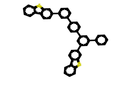 c1ccc(-c2cc(-c3ccc(-c4cccc(-c5ccc6c(c5)sc5ccccc56)c4)cc3)cc(-c3ccc4c(c3)sc3ccccc34)c2)cc1